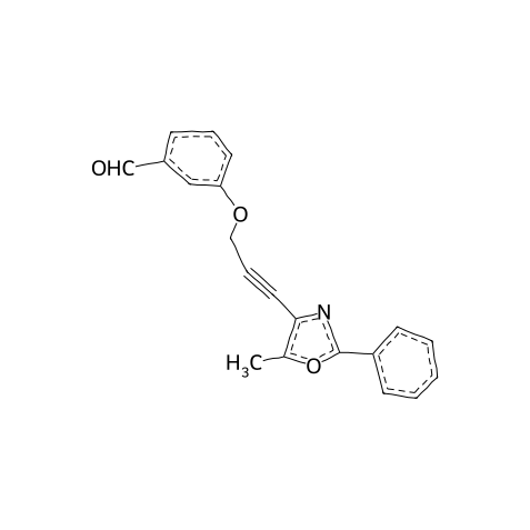 Cc1oc(-c2ccccc2)nc1C#CCOc1cccc(C=O)c1